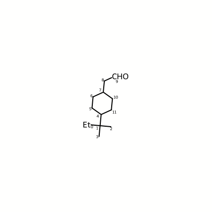 CCC(C)(C)C1CCC(CC=O)CC1